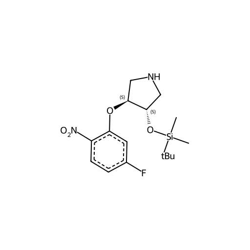 CC(C)(C)[Si](C)(C)O[C@H]1CNC[C@@H]1Oc1cc(F)ccc1[N+](=O)[O-]